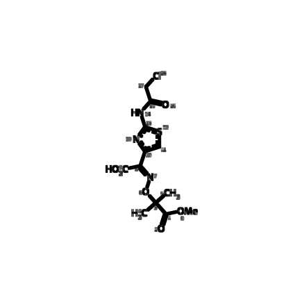 COC(=O)C(C)(C)ON=C(C(=O)O)c1csc(NC(=O)CCl)n1